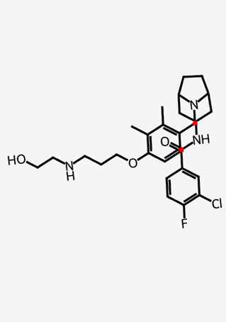 Cc1c(CN2C3CCC2CC(NC(=O)c2ccc(F)c(Cl)c2)C3)ccc(OCCCNCCO)c1C